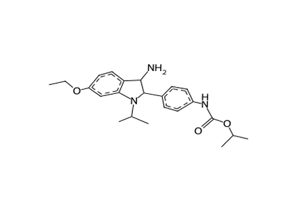 CCOc1ccc2c(c1)N(C(C)C)C(c1ccc(NC(=O)OC(C)C)cc1)C2N